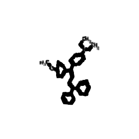 CCN(CC)c1ccc(/C(=C/C=C(c2ccccc2)c2ccccc2)c2ccc(OC)cc2)cc1